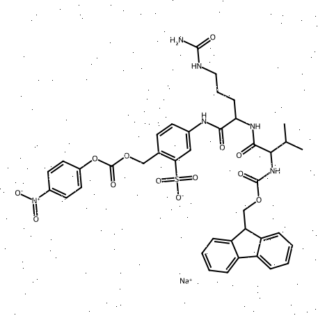 CC(C)C(NC(=O)OCC1c2ccccc2-c2ccccc21)C(=O)NC(CCCNC(N)=O)C(=O)Nc1ccc(COC(=O)Oc2ccc([N+](=O)[O-])cc2)c(S(=O)(=O)[O-])c1.[Na+]